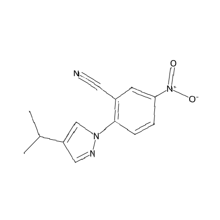 CC(C)c1cnn(-c2ccc([N+](=O)[O-])cc2C#N)c1